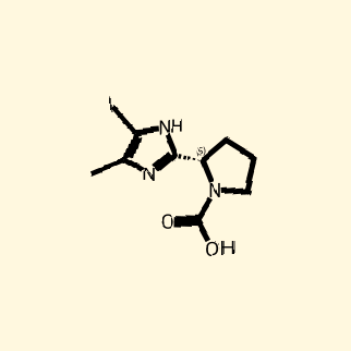 Cc1nc([C@@H]2CCCN2C(=O)O)[nH]c1I